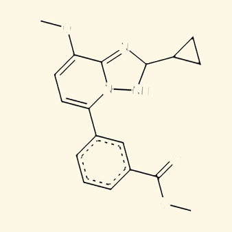 COC(=O)c1cccc(C2=CC=C(OC)C3=NC(C4CC4)NN23)c1